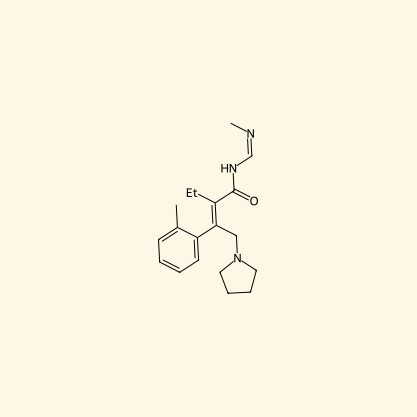 CC/C(C(=O)N/C=N\C)=C(/CN1CCCC1)c1ccccc1C